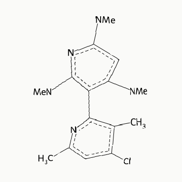 CNc1cc(NC)c(-c2nc(C)cc(Cl)c2C)c(NC)n1